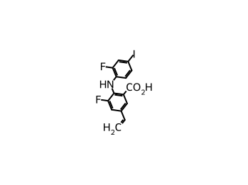 C=Cc1cc(F)c(Nc2ccc(I)cc2F)c(C(=O)O)c1